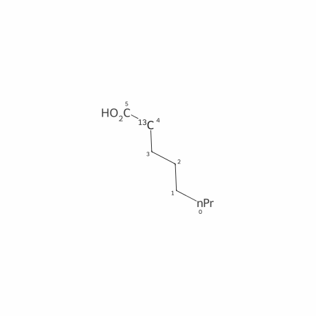 CCCCCC[13CH2][13C](=O)O